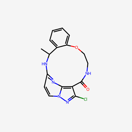 CC1Nc2ccn3nc(Cl)c(c3n2)C(=O)NCCOc2ccccc21